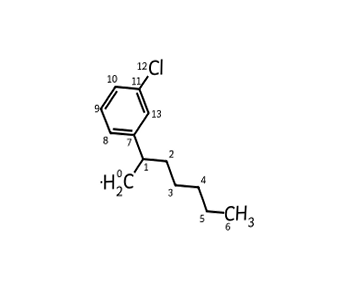 [CH2]C(CCCCC)c1cccc(Cl)c1